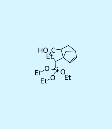 CCO[Si](OCC)(OCC)C(CC)C12C=CC(CC1C(=O)O)C2